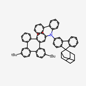 CC(C)(C)c1ccc2c(c1)-c1ccccc1-c1ccc(N(c3ccc4c(c3)-c3ccccc3C43C4CC5CC(C4)CC3C5)c3ccccc3-c3ccccc3)cc1-c1cc(C(C)(C)C)ccc1-2